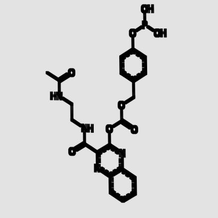 CC(=O)NCCNC(=O)c1nc2ccccc2nc1OC(=O)OCc1ccc(OP(O)O)cc1